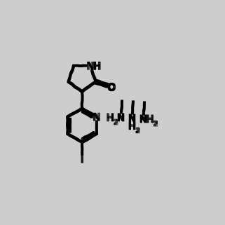 CN.CN.CN.O=C1NCCC1c1ccc(I)cn1